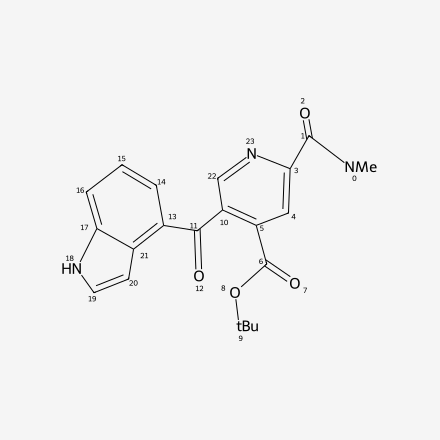 CNC(=O)c1cc(C(=O)OC(C)(C)C)c(C(=O)c2cccc3[nH]ccc23)cn1